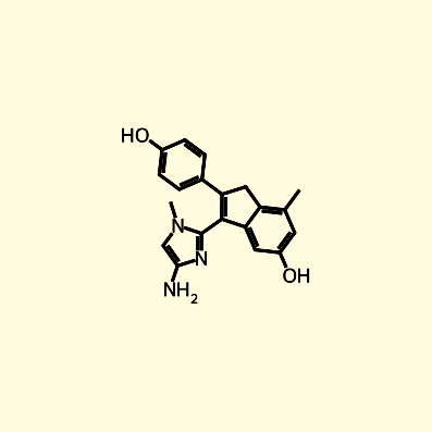 Cc1cc(O)cc2c1CC(c1ccc(O)cc1)=C2c1nc(N)cn1C